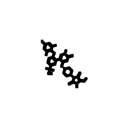 CC=C1NC(=O)N([C@H]2CC[C@H](Oc3cc(=O)n(C)cc3-c3cc(C(C)(C)O)ccc3Oc3c(C)cc(F)cc3C)CC2)C1=O